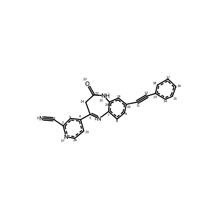 N#Cc1cc(C2=Nc3ccc(C#Cc4ccccc4)cc3NC(=O)C2)ccn1